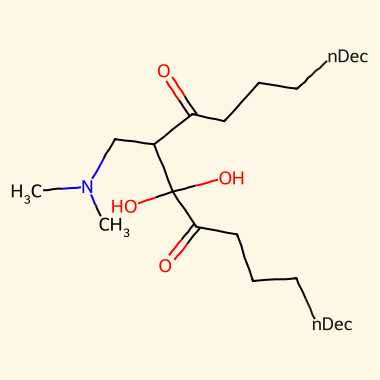 CCCCCCCCCCCCCC(=O)C(CN(C)C)C(O)(O)C(=O)CCCCCCCCCCCCC